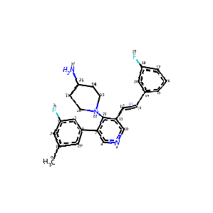 Cc1cc(F)cc(-c2cncc(/C=C/c3cccc(F)c3)c2N2CCC(N)CC2)c1